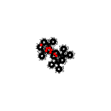 c1ccc(-c2c(-c3ccccc3)n(-c3ccc(-c4cccc(N(c5ccccc5)c5ccccc5)c4)cc3)c3c2ccc2c(-c4ccccc4)c(-c4ccccc4)n(-c4ccc(-c5cccc(N(c6ccccc6)c6ccccc6)c5)cc4)c23)cc1